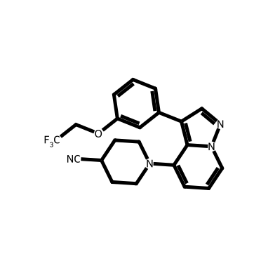 N#CC1CCN(c2cccn3ncc(-c4cccc(OCC(F)(F)F)c4)c23)CC1